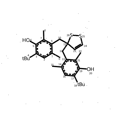 Cc1cc(C(C)(C)C)c(O)c(C)c1CC1(Cc2c(C)cc(C(C)(C)C)c(O)c2C)C=CSS1